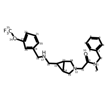 CN(Cc1ccccc1)C(=O)CN1CC2C(CNCc3cccc(OC(F)(F)F)c3)C2C1